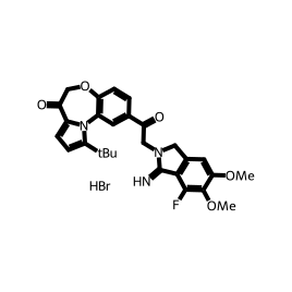 Br.COc1cc2c(c(F)c1OC)C(=N)N(CC(=O)c1ccc3c(c1)-n1c(ccc1C(C)(C)C)C(=O)CO3)C2